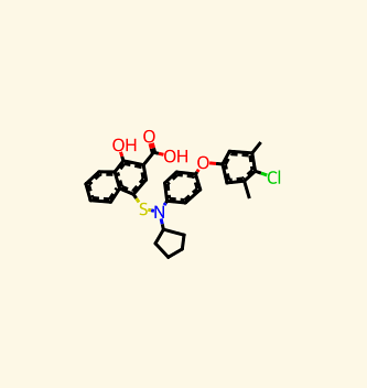 Cc1cc(Oc2ccc(N(Sc3cc(C(=O)O)c(O)c4ccccc34)C3CCCC3)cc2)cc(C)c1Cl